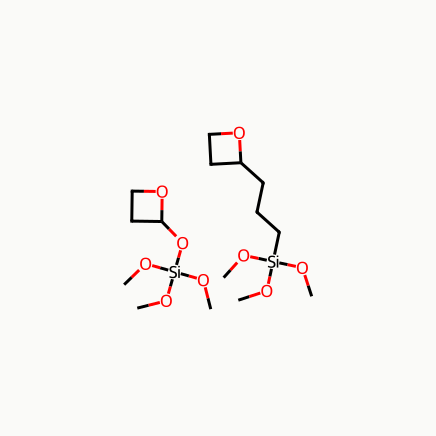 CO[Si](CCCC1CCO1)(OC)OC.CO[Si](OC)(OC)OC1CCO1